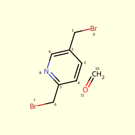 BrCc1ccc(CBr)nc1.C=O